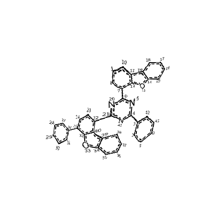 c1ccc(-c2nc(-c3cccc4c3oc3ccccc34)nc(-c3ccc(-c4ccccc4)c4oc5ccccc5c34)n2)cc1